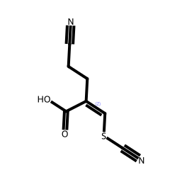 N#CCC/C(=C/SC#N)C(=O)O